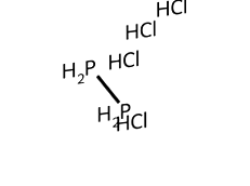 Cl.Cl.Cl.Cl.PP